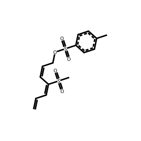 C=C/C=C(\C=C/COS(=O)(=O)c1ccc(C)cc1)S(C)(=O)=O